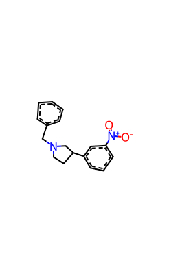 O=[N+]([O-])c1cccc(C2CCN(Cc3ccccc3)C2)c1